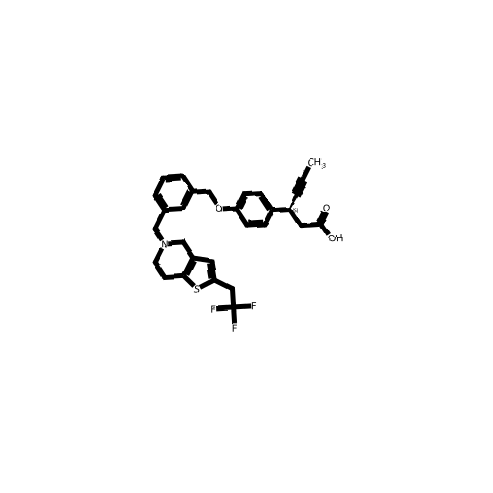 CC#C[C@@H](CC(=O)O)c1ccc(OCc2cccc(CN3CCc4sc(CC(F)(F)F)cc4C3)c2)cc1